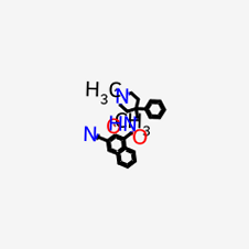 COc1c(C#N)cc2ccccc2c1C(=O)NCC1(c2ccccc2)CCN(C)CC1